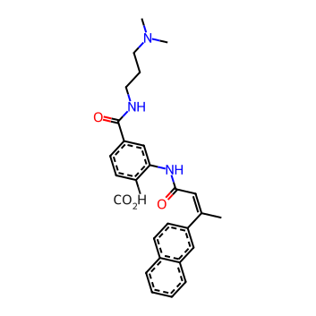 C/C(=C/C(=O)Nc1cc(C(=O)NCCCN(C)C)ccc1C(=O)O)c1ccc2ccccc2c1